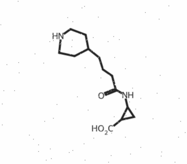 O=C(CCCC1CCNCC1)NC1CC1C(=O)O